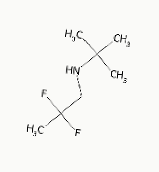 CC(F)(F)CNC(C)(C)C